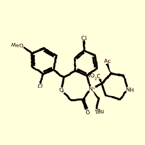 COc1ccc(C2OCC(=O)[N@@+](CC(C)(C)C)([C@@]3(C(=O)O)CCNC[C@@H]3C(C)=O)c3ccc(Cl)cc32)c(Cl)c1